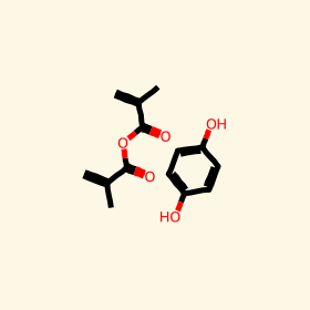 C=C(C)C(=O)OC(=O)C(=C)C.Oc1ccc(O)cc1